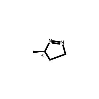 C[C@@H]1CCN=N1